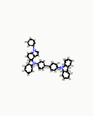 c1ccc(-n2ccc3c2ccc2c4ccccc4n(-c4ccc(-c5ccc(-n6c7ccccc7c7ccccc76)cc5)cc4)c23)cc1